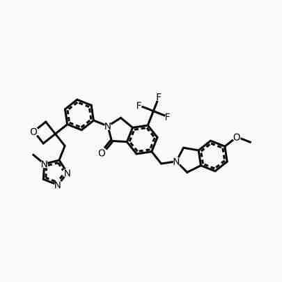 COc1ccc2c(c1)CN(Cc1cc3c(c(C(F)(F)F)c1)CN(c1cccc(C4(Cc5nncn5C)COC4)c1)C3=O)C2